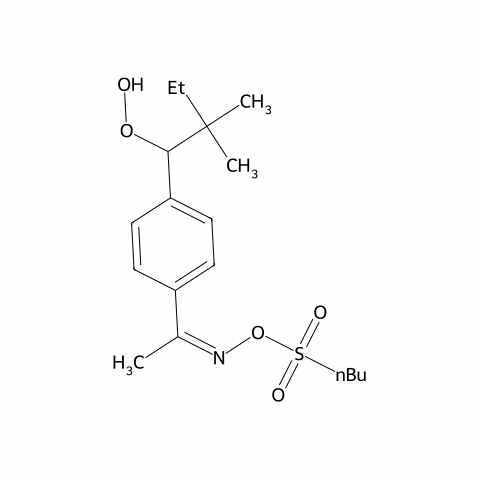 CCCCS(=O)(=O)O/N=C(/C)c1ccc(C(OO)C(C)(C)CC)cc1